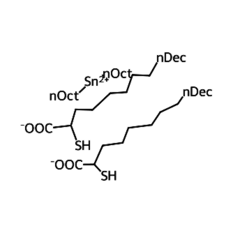 CCCCCCCCCCCCCCCCC(S)C(=O)[O-].CCCCCCCCCCCCCCCCC(S)C(=O)[O-].CCCCCCC[CH2][Sn+2][CH2]CCCCCCC